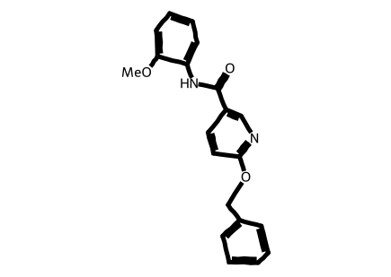 COc1ccccc1NC(=O)c1ccc(OCc2ccccc2)nc1